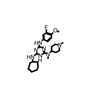 COc1ccc(NC2=NC(NC3CCCCCC3)NC(N(C)C3CCN(C)CC3)=N2)cc1F